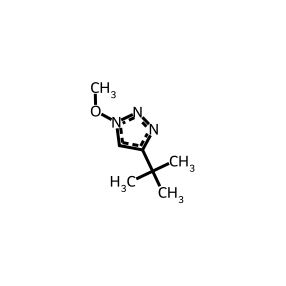 COn1cc(C(C)(C)C)nn1